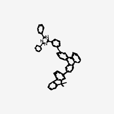 CC1(C)c2ccccc2-c2ccc(-c3ccc4c5ccccc5c5cc(-c6cccc(-c7nc(-c8ccccc8)nc(-c8ccccc8)n7)c6)ccc5c4c3)cc21